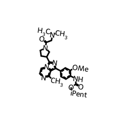 CCCC(C)OC(=O)Nc1ccc(-c2nc(C3CCN(C(=O)CN(C)C)C3)n3ccnc(C)c23)cc1OC